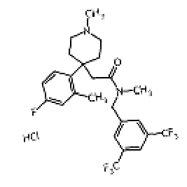 Cc1cc(F)ccc1C1(CC(=O)N(C)Cc2cc(C(F)(F)F)cc(C(F)(F)F)c2)CCN(C)CC1.Cl